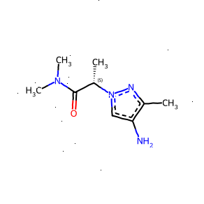 Cc1nn([C@@H](C)C(=O)N(C)C)cc1N